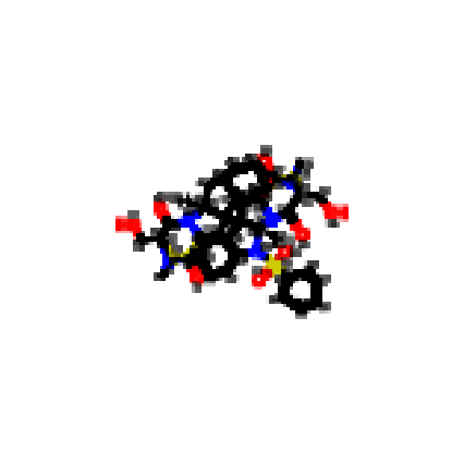 CN1C(=O)[C@@]23C[C@]4([C@]56C[C@@]78SS[C@@](CO)(C(=O)N7[C@H]5N(S(=O)(=O)c5ccccc5)c5ccccc56)N(C)C8=O)c5ccccc5C[C@@H]4N2C(=O)[C@]1(CO)SS3